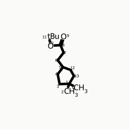 CC1(C)CCC(CCC(=O)OC(C)(C)C)CC1